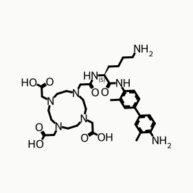 Cc1cc(-c2ccc(NC(=O)[C@H](CCCCN)NC(=O)CN3CCN(CC(=O)O)CCN(CC(=O)O)CCN(CC(=O)O)CC3)c(C)c2)ccc1N